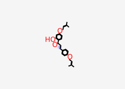 CC(C)=CCOc1ccc(/C=C/C(=O)c2ccc(OCC=C(C)C)cc2O)cc1